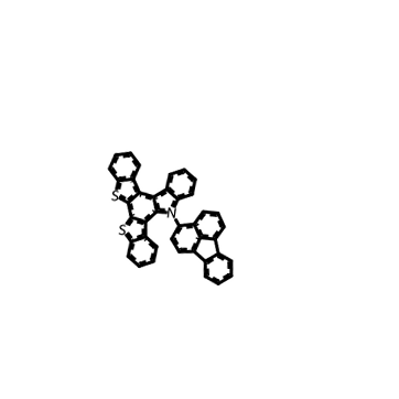 c1ccc2c(c1)-c1cccc3c(-n4c5ccccc5c5c6c7ccccc7sc6c6sc7ccccc7c6c54)ccc-2c13